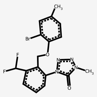 Cc1ccc(OCc2c(C(F)F)cccc2-n2nnn(C)c2=O)c(Br)c1